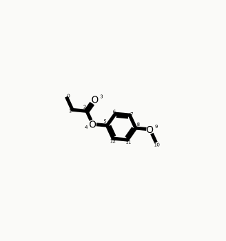 CCC(=O)Oc1ccc(OC)cc1